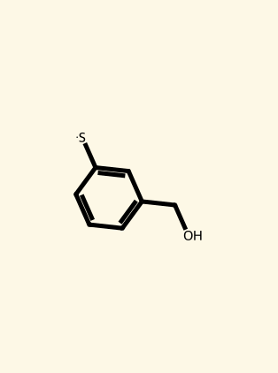 OCc1cccc([S])c1